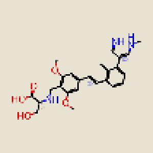 CN/C=C(\C=N)c1cccc(/C=C/c2cc(OC)c(CN[C@@H](CO)C(=O)O)c(OC)c2)c1C